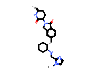 C=C1CCC(N2Cc3cc(C[C@H]4CCCC[C@@H]4NCc4nccn4C)ccc3C2=O)C(=O)N1